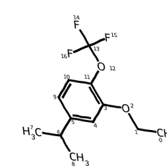 CCOc1cc([C](C)C)ccc1OC(F)(F)F